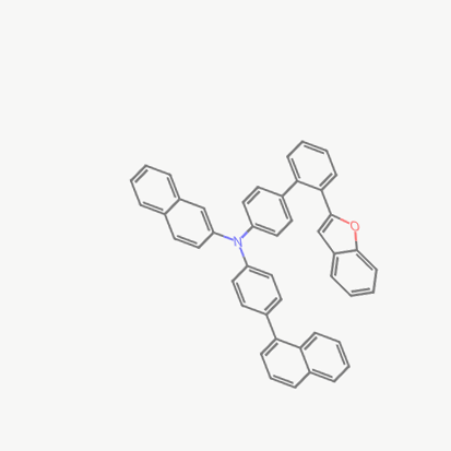 c1ccc(-c2cc3ccccc3o2)c(-c2ccc(N(c3ccc(-c4cccc5ccccc45)cc3)c3ccc4ccccc4c3)cc2)c1